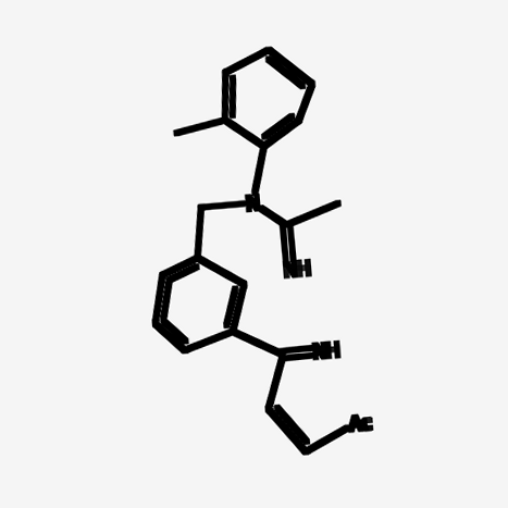 CC(=N)N(CC1=C=C=CC(C(=N)/C=C\C(C)=O)=C1)c1ccccc1C